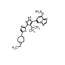 CCN1CCC(c2cnc(-c3n[nH]c(-c4cc(OC)c5ncnn5c4)c3C(C)C)s2)CC1